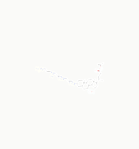 CC(C)OC(=O)CC[C@@H](C)C1CCC2C3C(CC[C@@]21C)[C@@]1(C)CC[C@H](NCCCNCCCNCCCN)CC1C[C@H]3O